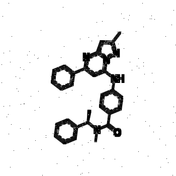 Cc1cc2nc(-c3ccccc3)cc(Nc3ccc(C(=O)N(C)[C@H](C)c4ccccc4)cc3)n2n1